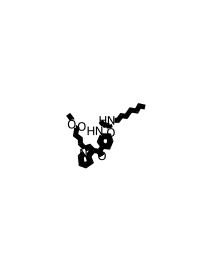 CCCCCCCNC(=O)C(C)Nc1cccc(C(=O)c2cc(CCCC(=O)OCC)n3ccccc23)c1